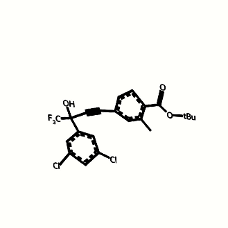 Cc1cc(C#CC(O)(c2cc(Cl)cc(Cl)c2)C(F)(F)F)ccc1C(=O)OC(C)(C)C